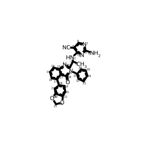 CC(Nc1nc(N)ncc1C#N)c1nc2cccc(-c3ccc4c(c3)OCO4)c2c(=O)n1-c1ccccc1